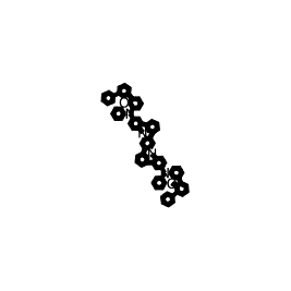 c1ccc(-c2cccc3c2oc2c(N(c4ccccc4)c4ccc5c(c4)c4cccc6c7cc8c(cc7n5c46)c4cccc5c6cc(N(c7ccccc7)c7cccc9c7oc7c(-c%10ccccc%10)cccc79)ccc6n8c54)cccc23)cc1